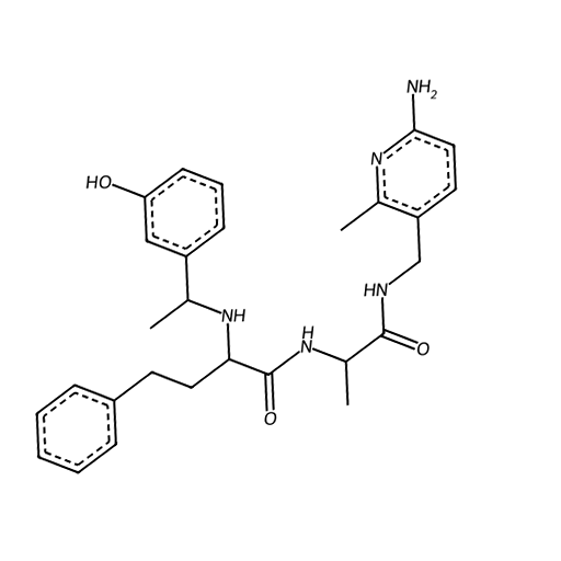 Cc1nc(N)ccc1CNC(=O)C(C)NC(=O)C(CCc1ccccc1)NC(C)c1cccc(O)c1